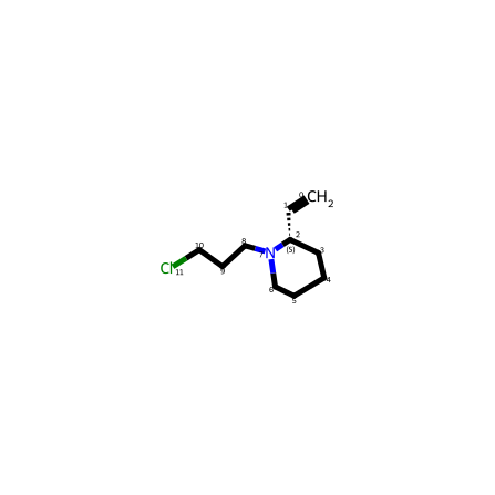 C=C[C@@H]1CCCCN1CCCCl